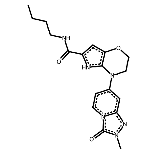 CCCCNC(=O)c1cc2c([nH]1)N(c1ccn3c(=O)n(C)nc3c1)CCO2